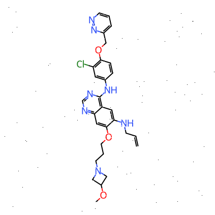 C=CCNc1cc2c(Nc3ccc(OCc4cccnn4)c(Cl)c3)ncnc2cc1OCCCN1CC(OC)C1